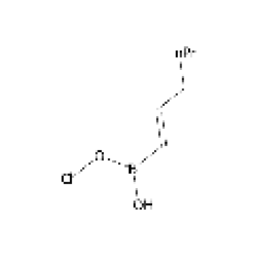 CCCCC=CB(O)OCl